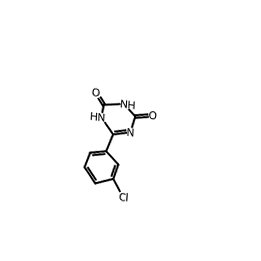 O=c1nc(-c2cccc(Cl)c2)[nH]c(=O)[nH]1